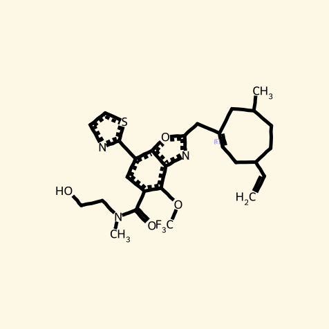 C=CC1C/C=C(/Cc2nc3c(OC(F)(F)F)c(C(=O)N(C)CCO)cc(-c4nccs4)c3o2)CC(C)CC1